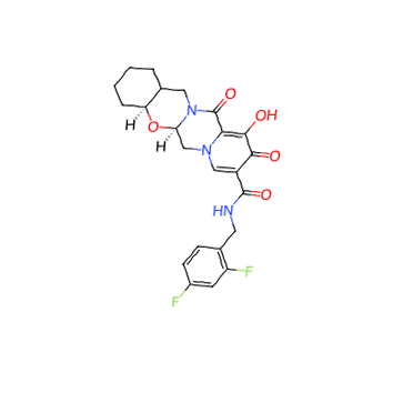 O=C(NCc1ccc(F)cc1F)c1cn2c(c(O)c1=O)C(=O)N1CC3CCCC[C@@H]3O[C@@H]1C2